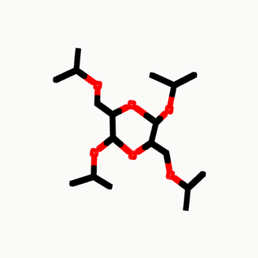 CC(C)OCC1OC(OC(C)C)C(COC(C)C)OC1OC(C)C